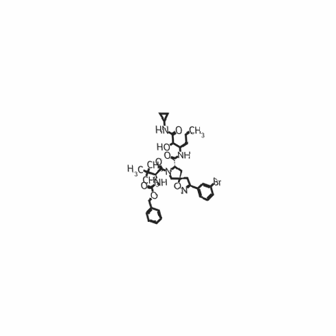 CCCC(NC(=O)[C@@H]1C[C@]2(CC(c3cccc(Br)c3)=NO2)CN1C(=O)[C@@H](NC(=O)OCc1ccccc1)C(C)(C)C)C(O)C(=O)NC1CC1